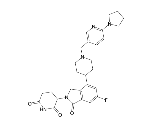 O=C1CCC(N2Cc3c(cc(F)cc3C3CCN(Cc4ccc(N5CCCC5)nc4)CC3)C2=O)C(=O)N1